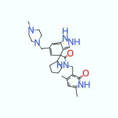 Cc1cc(C)c(CNC(=O)C2(C3CCCC3)C=C(CN3CCN(C)CC3)C=C3NNC=C32)c(=O)[nH]1